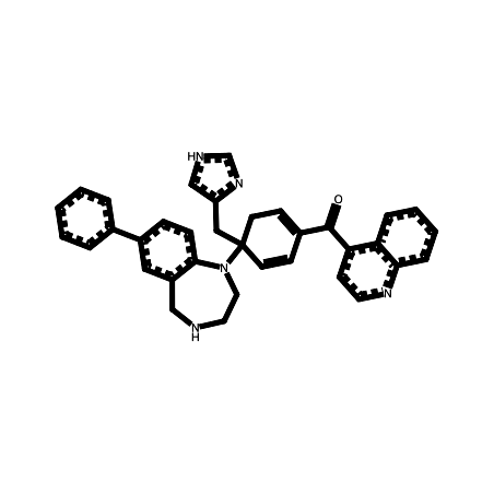 O=C(C1=CCC(Cc2c[nH]cn2)(N2CCNCc3cc(-c4ccccc4)ccc32)C=C1)c1ccnc2ccccc12